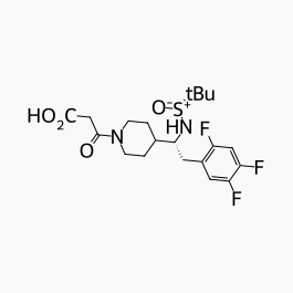 CC(C)(C)[S@+]([O-])N[C@H](Cc1cc(F)c(F)cc1F)C1CCN(C(=O)CC(=O)O)CC1